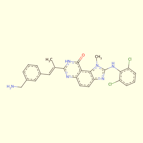 CC(=Cc1cccc(CN)c1)c1nc2ccc3nc(Nc4c(Cl)cccc4Cl)n(C)c3c2c(=O)[nH]1